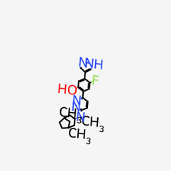 CN(c1ccc(-c2cc(F)c(-c3cn[nH]c3)cc2O)nn1)[C@H]1C[C@]2(C)CC[C@](C)(C1)C2